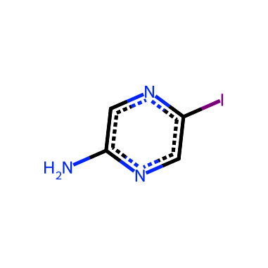 Nc1cnc(I)cn1